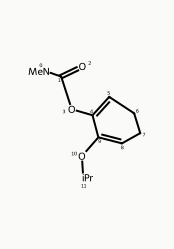 CNC(=O)OC1=CCCC=C1OC(C)C